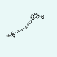 CC(C)(C)OC(=O)NCCOCCOCCN1CCN([C@H]2CC[C@@H](n3cc(-c4ccc(Oc5ccccc5)cc4)c4c(N)ncnc43)CC2)CC1